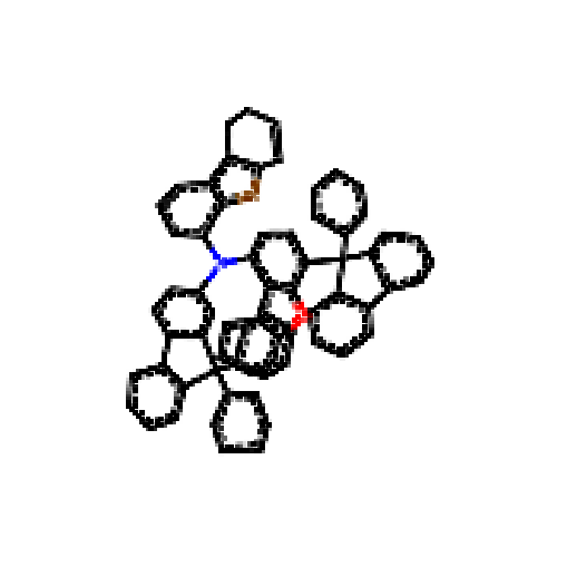 C1=Cc2sc3c(N(c4ccc5c(c4)C(c4ccccc4)(c4ccccc4)c4ccccc4-5)c4ccc(C5(c6ccccc6)c6ccccc6-c6ccccc65)c5oc6ccccc6c45)cccc3c2CC1